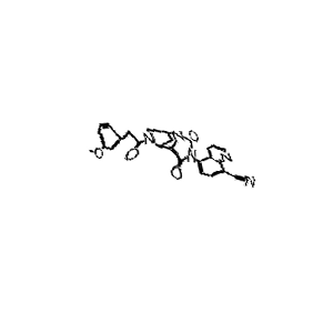 COc1cccc(CC(=O)N2CC3CC2C2C(=O)N(c4ccc(C#N)c5ncccc45)C(=O)N32)c1